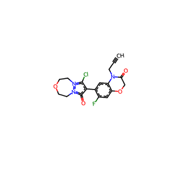 C#CCN1C(=O)COc2cc(F)c(-c3c(Cl)n4n(c3=O)CCOCC4)cc21